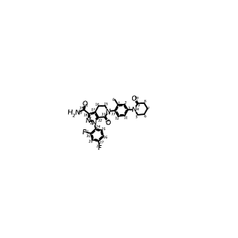 Cc1cc(N2CCCCC2=O)ccc1N1CCc2c(C(N)=O)nn(-c3ccc(F)cc3F)c2C1=O